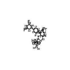 CC(C)n1cnc2c(c1=O)[C@@H](Cc1cccc(-c3cc(F)cc(F)c3)c1)[C@@H](NS(=O)(=O)C1CC1)CC2